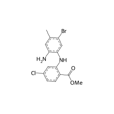 COC(=O)c1ccc(Cl)cc1Nc1cc(Br)c(C)cc1N